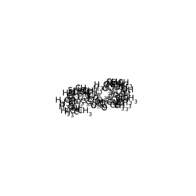 CCC(C)(CC)c1cc(C(CCCCOC(=O)CC(=O)OCCCCC(c2cc(C(C)(CC)CC)c(O)c(C(C)(CC)CC)c2)(C2CC(C)(C)N(C)C(C)(C)C2)C2CC(C)(C)N(C)C(C)(C)C2)(C2CC(C)(C)N(C)C(C)(C)C2)C2CC(C)(C)N(C)C(C)(C)C2)cc(C(C)(CC)CC)c1O